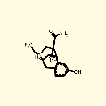 NC(=O)C1CC23CCN(CC(F)(F)F)[C@H](Cc4ccc(O)cc42)[C@]3(O)C1